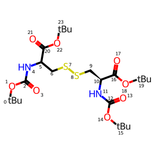 CC(C)(C)OC(=O)NC(CSSC[C@H](NC(=O)OC(C)(C)C)C(=O)OC(C)(C)C)C(=O)OC(C)(C)C